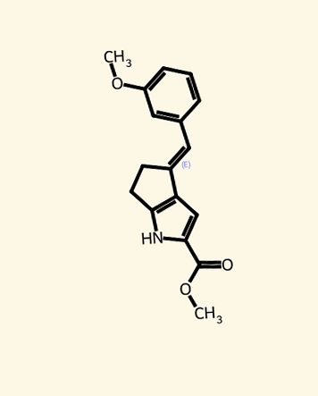 COC(=O)c1cc2c([nH]1)CC/C2=C\c1cccc(OC)c1